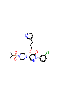 CC(C)S(=O)(=O)N1CCN(c2cnn(-c3cccc(Cl)c3)c(=O)c2OCCCc2cccnc2)CC1